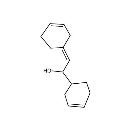 OC(C=C1CC=CCC1)C1CC=CCC1